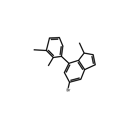 Cc1cccc(-c2cc(Br)cc3c2C(C)C=C3)c1C